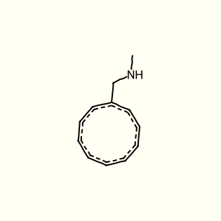 CNCc1ccccccccc1